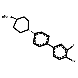 CCCCC[C@H]1CC[C@H](c2ccc(-c3ccc(Br)c(F)c3)cc2)CC1